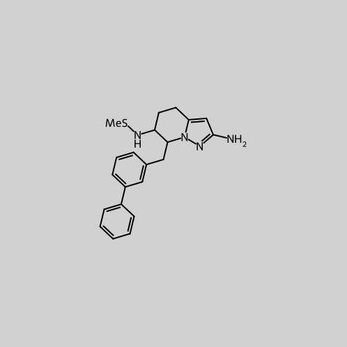 CSNC1CCc2cc(N)nn2C1Cc1cccc(-c2ccccc2)c1